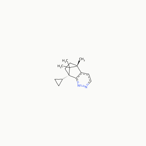 CC1(C)[C@]2(C)CC[C@]1(C1CC1)c1nnccc12